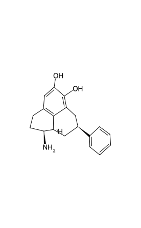 N[C@H]1CCc2cc(O)c(O)c3c2[C@H]1C[C@H](c1ccccc1)C3